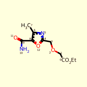 CCOC(=O)COCc1nc(C)c(C(N)=O)o1